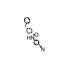 N#Cc1ccc(NC(=O)[C@H]2CC[C@@H](Cc3ccccc3)CC2)cc1